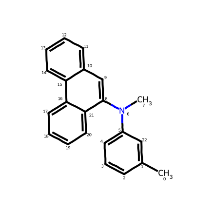 Cc1cccc(N(C)c2cc3ccccc3c3ccccc23)c1